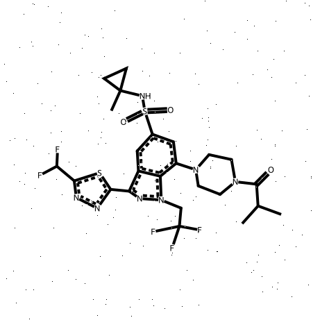 CC(C)C(=O)N1CCN(c2cc(S(=O)(=O)NC3(C)CC3)cc3c(-c4nnc(C(F)F)s4)nn(CC(F)(F)F)c23)CC1